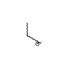 C[CH]C(=O)CCCCCCC/C=C\CCCCCCCC